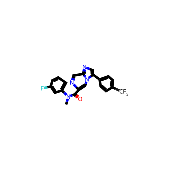 CN(C(=O)c1cn2c(-c3ccc(C(F)(F)F)cc3)cnc2cn1)c1cccc(F)c1